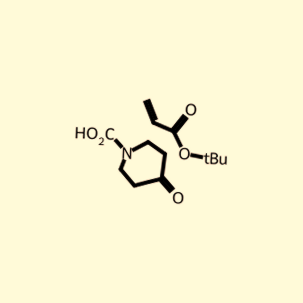 C=CC(=O)OC(C)(C)C.O=C1CCN(C(=O)O)CC1